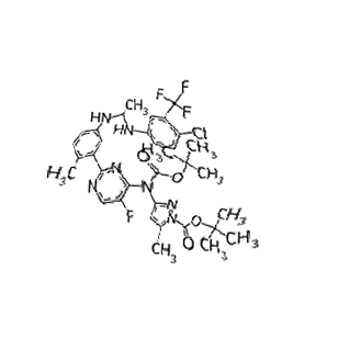 Cc1ccc(NC(C)Nc2ccc(Cl)c(C(F)(F)F)c2)cc1-c1ncc(F)c(N(C(=O)OC(C)(C)C)c2cc(C)n(C(=O)OC(C)(C)C)n2)n1